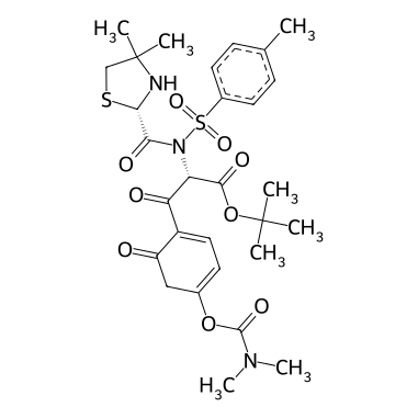 Cc1ccc(S(=O)(=O)N(C(=O)[C@H]2NC(C)(C)CS2)[C@H](C(=O)OC(C)(C)C)C(=O)C2=CC=C(OC(=O)N(C)C)CC2=O)cc1